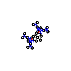 c1ccc(-c2ccc(B(c3ccc4cc(-n5c6ccc(N(c7ccccc7)c7ccccc7)cc6c6ccc7c8cc(N(c9ccccc9)c9ccccc9)ccc8n(-c8cccc(-c9ccccc9)n8)c7c65)ccc4c3)c3ccc4cc(-n5c6ccc(N(c7ccccc7)c7ccccc7)cc6c6ccc7c8cc(N(c9ccccc9)c9ccccc9)ccc8n(-c8cccc(-c9ccccc9)n8)c7c65)ccc4c3)cc2)cc1